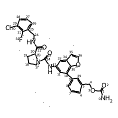 NC(=O)OCc1cccc(-c2cc(NC(=O)N3CCC[C@H]3C(=O)NCc3cccc(Cl)c3F)cc3ccoc23)c1